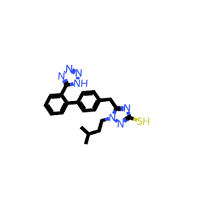 CC(C)CCn1nc(S)nc1Cc1ccc(-c2ccccc2-c2nnn[nH]2)cc1